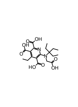 CCc1c(C(=O)O)c(C(=O)O)nc(N(CC(=O)O)C(CC)(CC)CC)c1C(=O)O